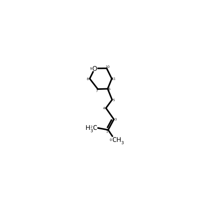 CC(C)=CCCC1CCOCC1